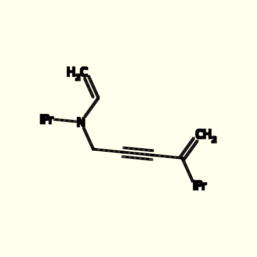 C=CN(CC#CC(=C)C(C)C)C(C)C